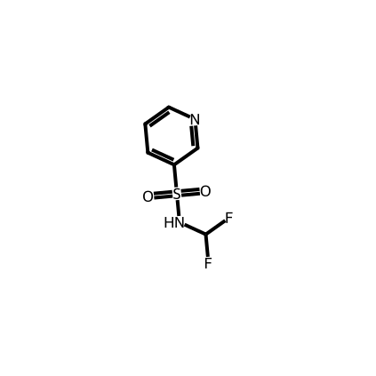 O=S(=O)(NC(F)F)c1cccnc1